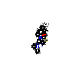 CC(C)(C)c1cc2c3c(c1)C(C)(C)c1cccc(N(c4ccc(Nc5ccccc5-c5ccccc5)cc4)c4cccc5sc6ccccc6c45)c1-c1cccc(c1-3)C2(C)C